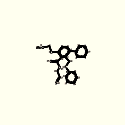 COCOc1ccc(-c2ccccc2)c(CSc2ccccc2)c1C(=O)OCC=S